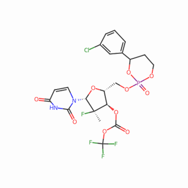 C[C@@]1(F)[C@H](OC(=O)OC(F)(F)F)[C@@H](COP2(=O)OCCC(c3cccc(Cl)c3)O2)O[C@H]1n1ccc(=O)[nH]c1=O